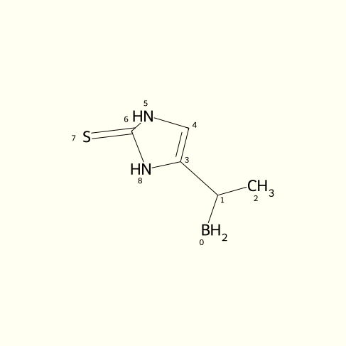 BC(C)c1c[nH]c(=S)[nH]1